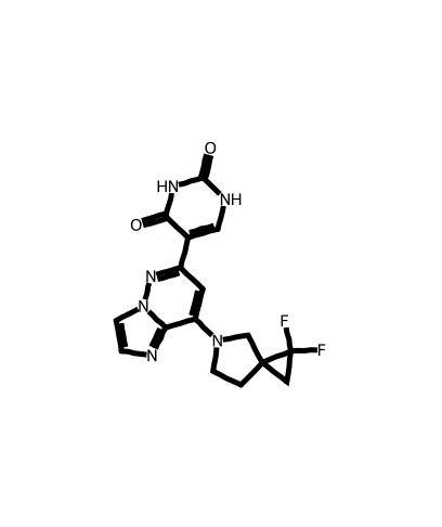 O=c1[nH]cc(-c2cc(N3CCC4(C3)CC4(F)F)c3nccn3n2)c(=O)[nH]1